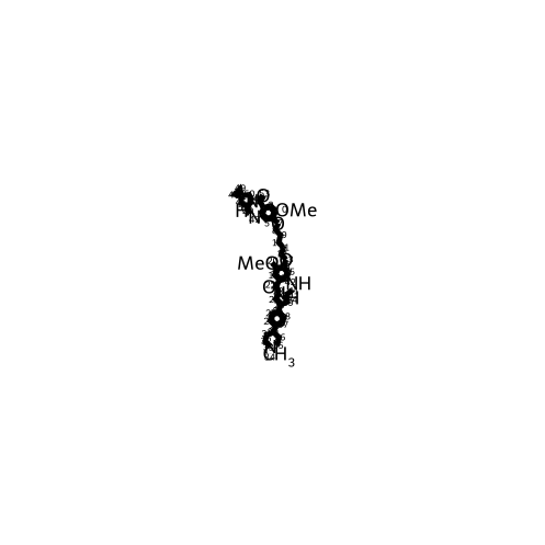 COc1cc2c(cc1OCCCCCOc1cc3c(cc1OC)C(=O)N1C=C(c4ccc(C5CCN(C)CC5)cc4)C[C@H]1CN3)N=C[C@@H]1CC3(CC3)CN1C2=O